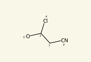 N#CCC([O])Cl